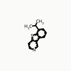 CC(C)c1cccc2c1sc1ccncc12